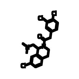 CN(C)CC1c2cc(Cl)ccc2CCN1C(=O)Cc1ccc(Cl)c(Cl)c1